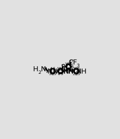 NCCN1CCN(c2ccc3c(c2)Sc2cc(C(F)(F)F)cc(NC4CCNCC4)c2N3)CC1